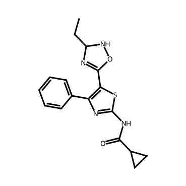 CCC1N=C(c2sc(NC(=O)C3CC3)nc2-c2ccccc2)ON1